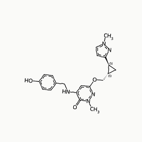 Cn1ccc([C@H]2C[C@@H]2COc2cc(NCc3ccc(O)cc3)c(=O)n(C)n2)n1